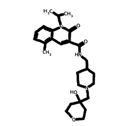 Cc1cccc2c1cc(C(=O)NCC1CCN(CC3(O)CCOCC3)CC1)c(=O)n2C(C)C